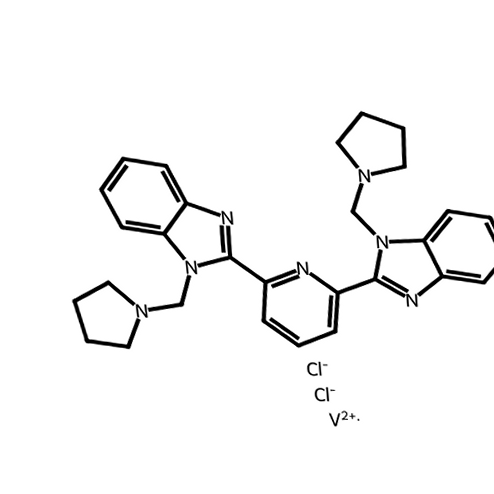 [Cl-].[Cl-].[V+2].c1cc(-c2nc3ccccc3n2CN2CCCC2)nc(-c2nc3ccccc3n2CN2CCCC2)c1